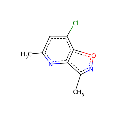 Cc1cc(Cl)c2onc(C)c2n1